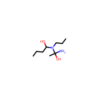 CCCC(O)N(CCC)C(C)(N)O